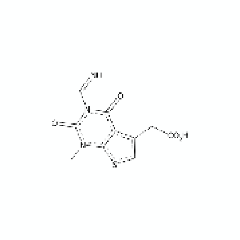 Cn1c(=O)n(C=N)c(=O)c2c(CC(=O)O)csc21